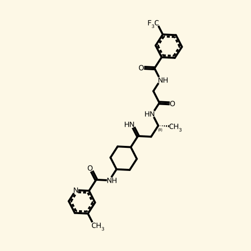 Cc1ccnc(C(=O)NC2CCC(C(=N)C[C@@H](C)NC(=O)CNC(=O)c3cccc(C(F)(F)F)c3)CC2)c1